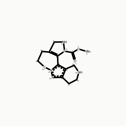 CC(C)(C)OC(=O)N1NCC2=C1c1c3c(nn1CCC2)CCNC3